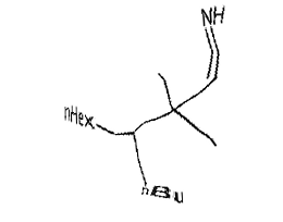 CCCCCCC(CCCC)C(C)(C)C=N